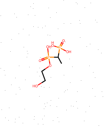 CC(P(=O)(O)O)P(=O)(O)OCCO